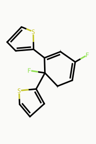 FC1=C[CH]C(F)(c2cccs2)C(c2cccs2)=[C]1